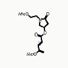 C=C(/C=C/C(=O)OC1CC(=O)N(CCOC)C1)OC